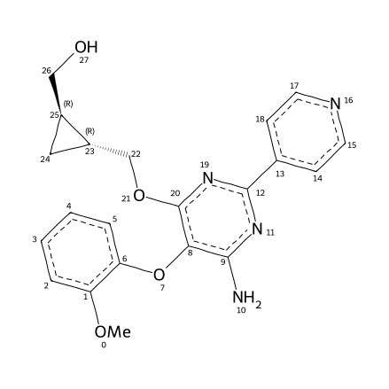 COc1ccccc1Oc1c(N)nc(-c2ccncc2)nc1OC[C@@H]1C[C@H]1CO